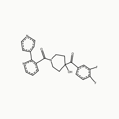 O=C(c1cccnc1-c1ccncc1)N1CCC(O)(C(=O)c2ccc(F)c(F)c2)CC1